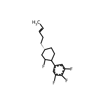 CC=CCC[C@@H]1CC[C](c2cc(F)c(F)c(F)c2)C(F)C1